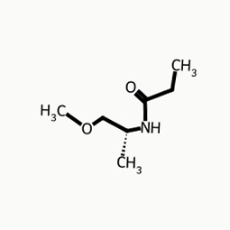 CCC(=O)N[C@H](C)COC